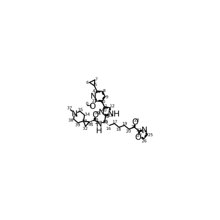 COc1nc(C2CC2)ccc1-c1c[nH]c([C@H](CCCCCC(=O)c2ncco2)NC(=O)[C@H]2CC23CCN(C)CC3)n1